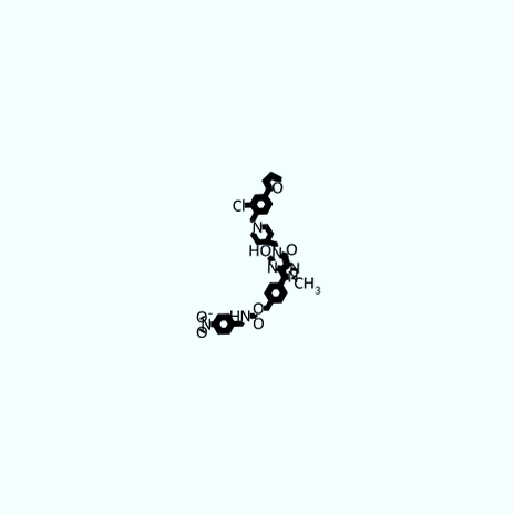 Cn1nc2c(=O)n(CC3(O)CCN(Cc4ccc(-c5ccco5)cc4Cl)CC3)cnc2c1-c1ccc(COC(=O)NCc2ccc([N+](=O)[O-])cc2)cc1